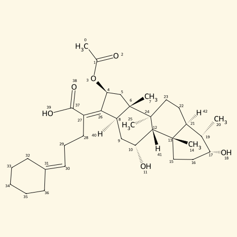 CC(=O)O[C@H]1C[C@@]2(C)[C@@H](C[C@@H](O)[C@H]3[C@@]4(C)CC[C@@H](O)[C@@H](C)[C@@H]4CC[C@@]32C)/C1=C(\CCC=C1CCCCC1)C(=O)O